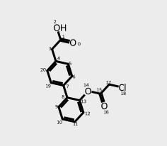 O=C(O)Cc1ccc(-c2ccccc2OC(=O)CCl)cc1